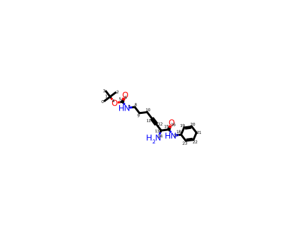 CC(C)(C)OC(=O)NCCCC#CC(N)C(=O)NC1C=CCC=C1